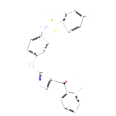 Cc1ccccc1C(=O)c1cnc(Nc2ccc(NS(=O)(=O)c3ccc(F)cc3F)cc2)s1